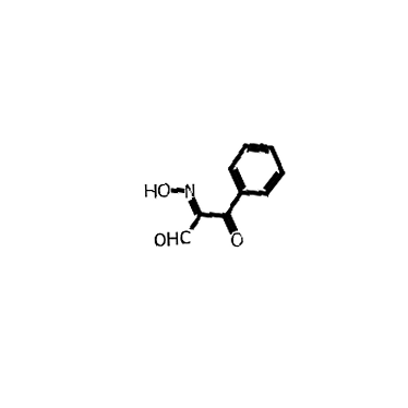 O=CC(=NO)C(=O)c1ccccc1